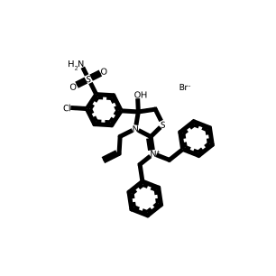 C=CCN1C(=[N+](Cc2ccccc2)Cc2ccccc2)SCC1(O)c1ccc(Cl)c(S(N)(=O)=O)c1.[Br-]